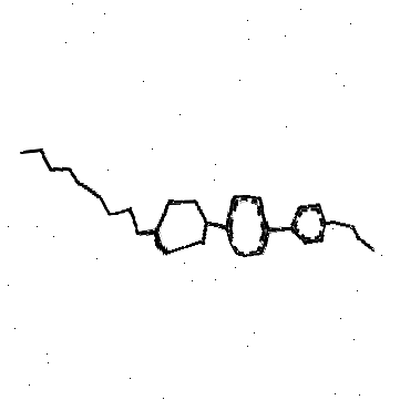 CCCCCCCCCC1CCC(c2ccc(-c3ccc(CCC)cc3)cc2)CC1